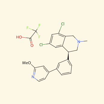 COc1cc(-c2cccc([C@@H]3CN(C)Cc4c(Cl)cc(Cl)cc43)c2)ccn1.O=C(O)C(F)(F)F